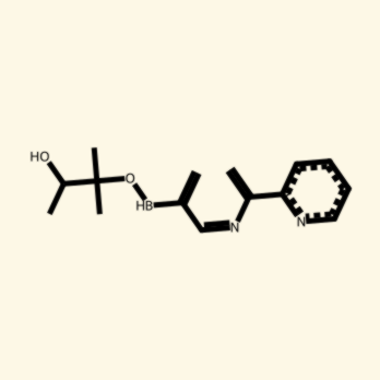 C=C(BOC(C)(C)C(C)O)/C=N\C(=C)c1ccccn1